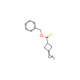 C=C1CC(C(=S)OCc2ccccc2)C1